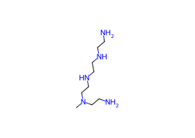 CN(CCN)CCNCCNCCN